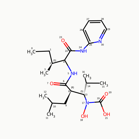 CC[C@H](C)C(NC(=O)[C@H](CC(C)C)[C@H](C(C)C)N(O)C(=O)O)C(=O)Nc1ccccn1